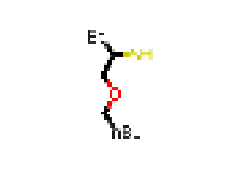 CCCCCOCC(S)CC